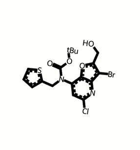 CC(C)(C)OC(=O)N(Cc1cccs1)c1cc(Cl)nc2c(Br)c(CO)oc12